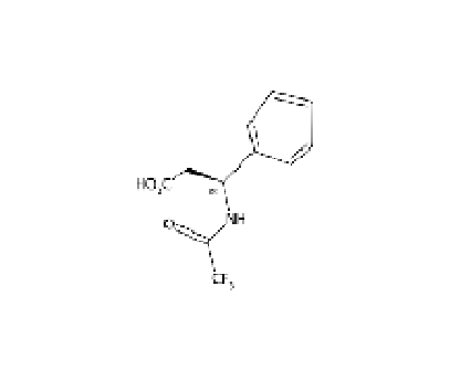 O=C(O)C[C@H](NC(=O)C(F)(F)F)c1ccccc1